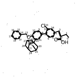 CCC(=Cc1ccc(-c2ccc(OCc3ccccc3)c(C34CC5CC(CC(C5)C3)C4)c2)c(Cl)c1)C(=O)O